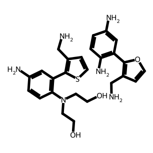 NCc1ccoc1-c1cc(N)ccc1N.NCc1ccsc1-c1cc(N)ccc1N(CCO)CCO